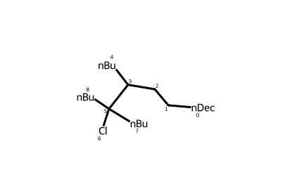 CCCCCCCCCCCCC(CCCC)C(Cl)(CCCC)CCCC